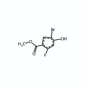 COC(=O)c1cc(Br)c(O)cc1F